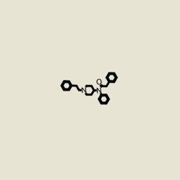 O=C(Cc1ccccc1)N(c1ccccc1)C1CCN(CCc2ccccc2)CC1